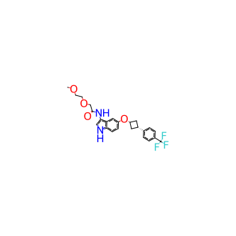 COCCOCC(=O)Nc1c[nH]c2ccc(O[C@H]3C[C@@H](c4ccc(C(F)(F)F)cc4)C3)cc12